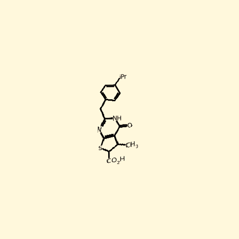 CC(C)c1ccc(Cc2nc3c(c(=O)[nH]2)C(C)C(C(=O)O)S3)cc1